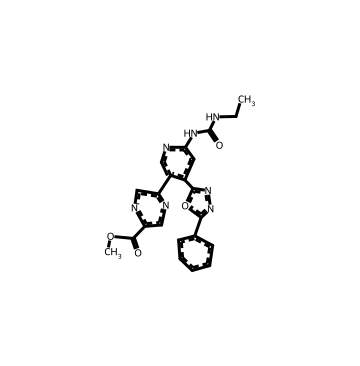 CCNC(=O)Nc1cc(-c2nnc(-c3ccccc3)o2)c(-c2cnc(C(=O)OC)cn2)cn1